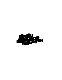 CCCCP(CCCC)(CCCC)(CCCC)C(CCCOP(=O)(O)O)P(CCCC)(CCCC)(CCCC)CCCC